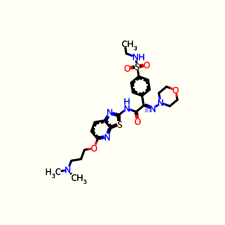 CCNS(=O)(=O)c1ccc(/C(=N\N2CCOCC2)C(=O)Nc2nc3ccc(OCCCN(C)C)nc3s2)cc1